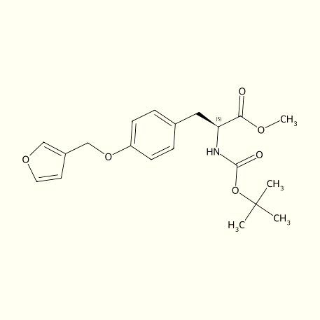 COC(=O)[C@H](Cc1ccc(OCc2ccoc2)cc1)NC(=O)OC(C)(C)C